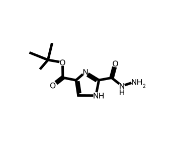 CC(C)(C)OC(=O)c1c[nH]c(C(=O)NN)n1